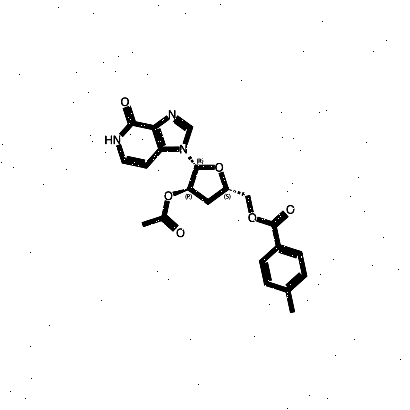 CC(=O)O[C@@H]1C[C@@H](COC(=O)c2ccc(C)cc2)O[C@H]1n1cnc2c(=O)[nH]ccc21